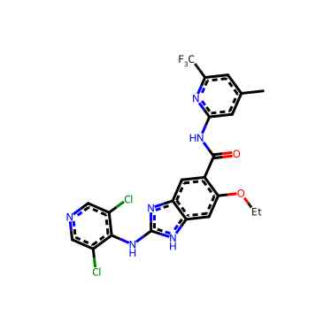 CCOc1cc2[nH]c(Nc3c(Cl)cncc3Cl)nc2cc1C(=O)Nc1cc(C)cc(C(F)(F)F)n1